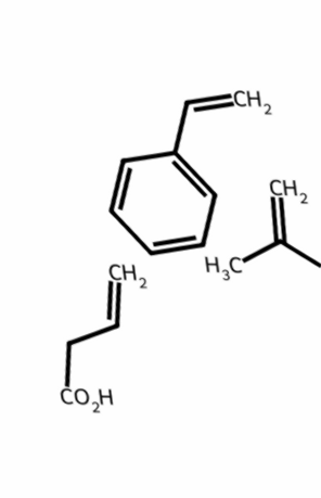 C=C(C)C#N.C=CCC(=O)O.C=Cc1ccccc1